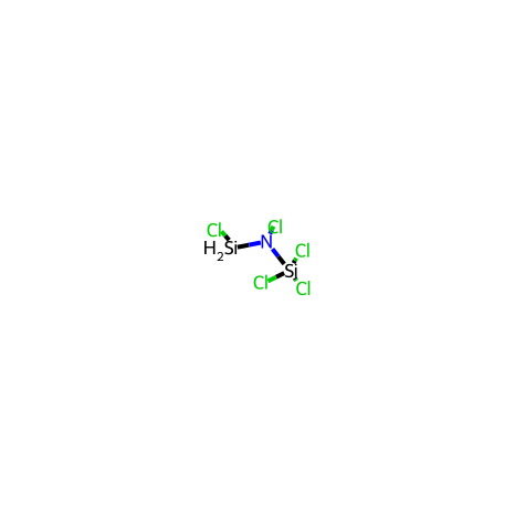 Cl[SiH2]N(Cl)[Si](Cl)(Cl)Cl